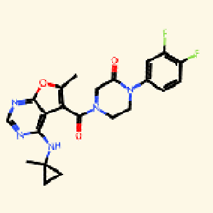 Cc1oc2ncnc(NC3(C)CC3)c2c1C(=O)N1CCN(c2ccc(F)c(F)c2)C(=O)C1